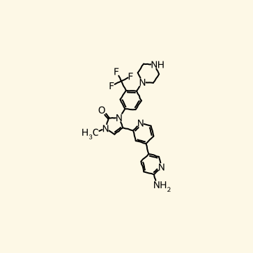 Cn1cc(-c2cc(-c3ccc(N)nc3)ccn2)n(-c2ccc(N3CCNCC3)c(C(F)(F)F)c2)c1=O